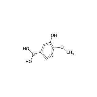 COc1ncc(B(O)O)cc1O